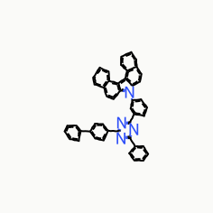 c1ccc(-c2ccc(-c3nc(-c4ccccc4)nc(-c4cccc(-n5c6ccc7ccccc7c6c6c7ccccc7ccc65)c4)n3)cc2)cc1